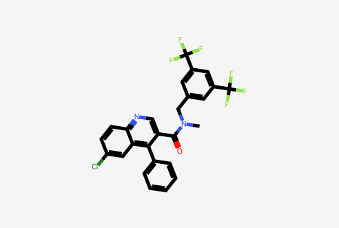 CN(Cc1cc(C(F)(F)F)cc(C(F)(F)F)c1)C(=O)c1cnc2ccc(Cl)cc2c1-c1ccccc1